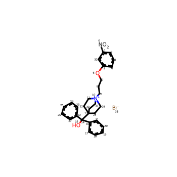 O=[N+]([O-])c1cccc(OCCC[N+]23CCC(C(O)(c4ccccc4)c4ccccc4)(CC2)CC3)c1.[Br-]